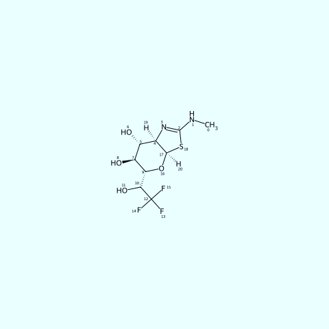 CNC1=N[C@@H]2[C@@H](O)[C@H](O)[C@@H](C(O)C(F)(F)F)O[C@@H]2S1